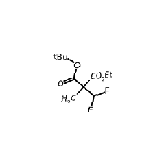 CCOC(=O)C(C)(C(=O)OC(C)(C)C)C(F)F